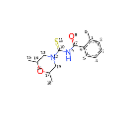 Cc1ccccc1C(=O)NC(=S)N1CC(C)OC(C)C1